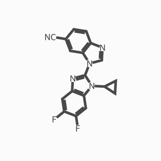 N#Cc1ccc2ncn(-c3nc4cc(F)c(F)cc4n3C3CC3)c2c1